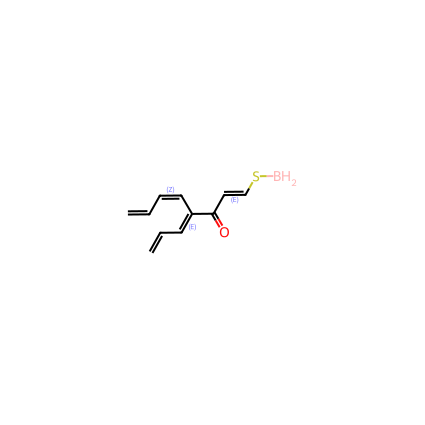 BS/C=C/C(=O)C(/C=C\C=C)=C/C=C